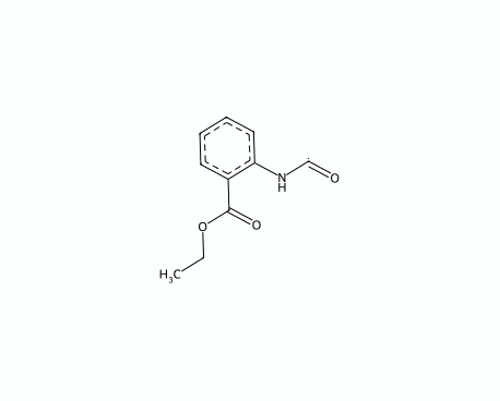 CCOC(=O)c1ccccc1N[C]=O